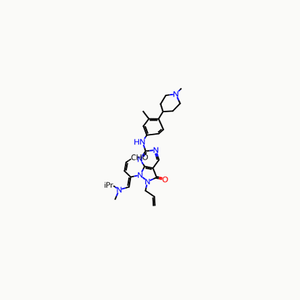 C=CCn1c(=O)c2cnc(Nc3ccc(C4CCN(C)CC4)c(C)c3)nc2n1C(/C=C\C=O)=C/N(C)C(C)C